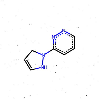 C1=CNN(c2cccnn2)C1